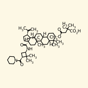 C=C(C)[C@@H]1CC[C@]2(C(=O)N[C@@H]3C[C@H](C(=O)N4CCCCC4)C3(C)C)CC[C@]3(C)[C@H](CC[C@@H]4[C@@]5(C)CC[C@H](OC(=O)CC(C)(C)C(=O)O)C(C)(C)[C@@H]5CC[C@]43C)[C@@H]12